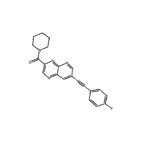 O=C(c1cnc2cc(C#Cc3ccc(F)cc3)cnc2n1)N1CCCCC1